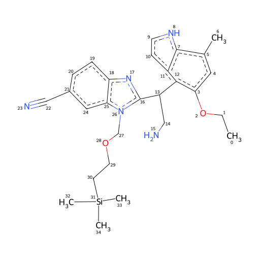 CCOc1cc(C)c2[nH]ccc2c1C(CN)c1nc2ccc(C#N)cc2n1COCC[Si](C)(C)C